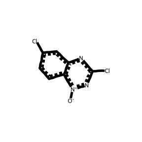 [O-][n+]1nc(Cl)nc2cc(Cl)ccc21